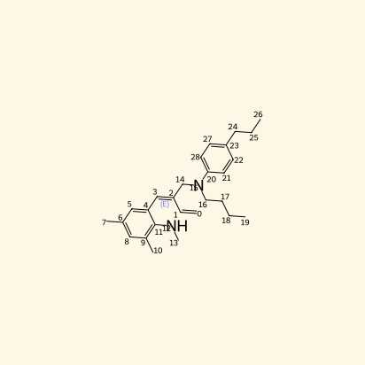 C=C/C(=C\c1cc(C)cc(C)c1NC)CN(CCCC)c1ccc(CCC)cc1